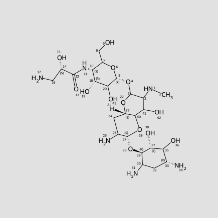 CNC1C(O[C@H]2OC(CO)[C@@H](NC(=O)[C@@H](O)CN)[C@@H](O)C2O)O[C@H]2CC(N)[C@@H](O[C@@H]3C(N)C[C@@H](N)C(O)[C@H]3O)OC2C1O